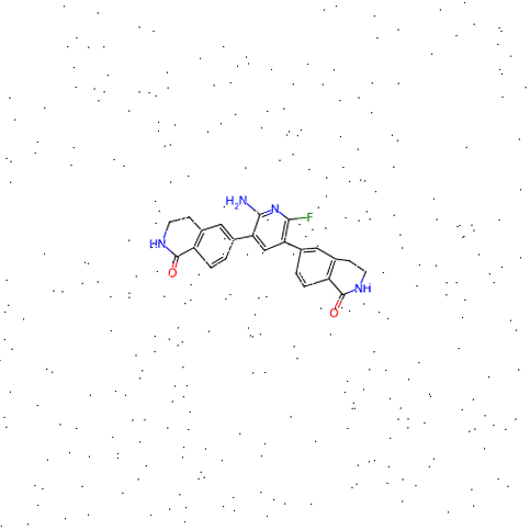 Nc1nc(F)c(-c2ccc3c(c2)CCNC3=O)cc1-c1ccc2c(c1)CCNC2=O